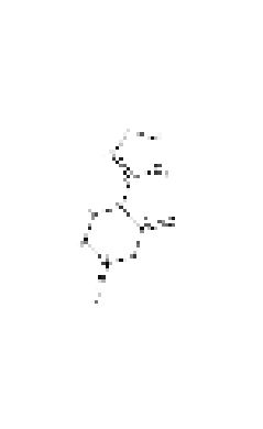 O=C1CCC(C2=NCCO2)C(=O)C1